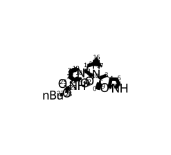 C#C[C@H](C[C@@H]1CCNC1=O)NC(=O)[C@H](CC1CC1)n1cccc(NC(=O)OCCCC)c1=O